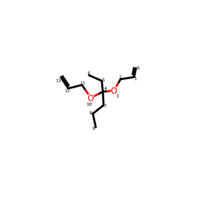 C=CCOC(CC)(CCC)OCC=C